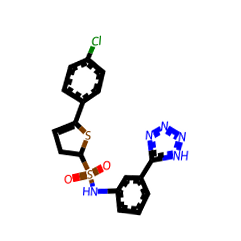 O=S(=O)(Nc1cccc(-c2nnn[nH]2)c1)C1CC=C(c2ccc(Cl)cc2)S1